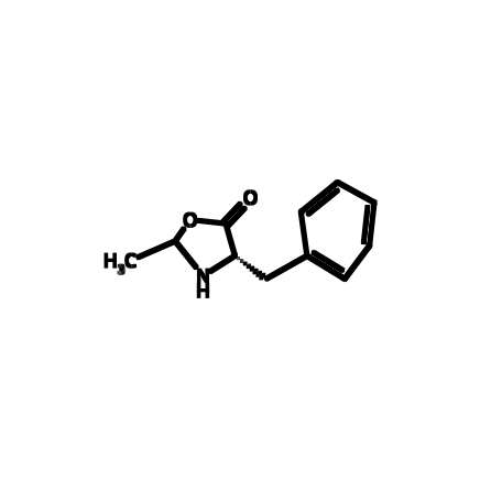 CC1N[C@@H](Cc2ccccc2)C(=O)O1